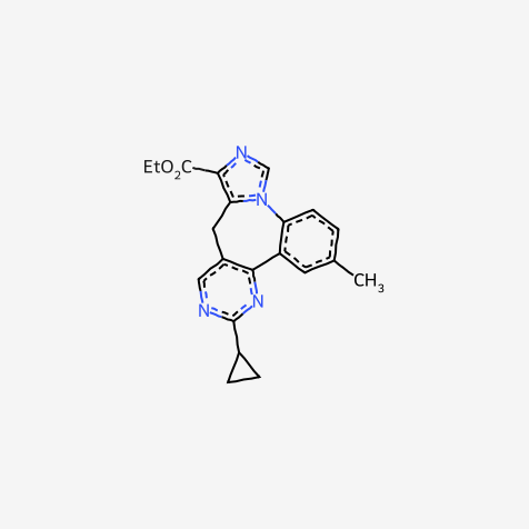 CCOC(=O)c1ncn2c1Cc1cnc(C3CC3)nc1-c1cc(C)ccc1-2